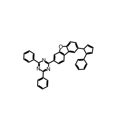 C1=CC(c2ccc3oc4cc(-c5nc(-c6ccccc6)nc(-c6ccccc6)n5)ccc4c3c2)C(c2ccccc2)=C1